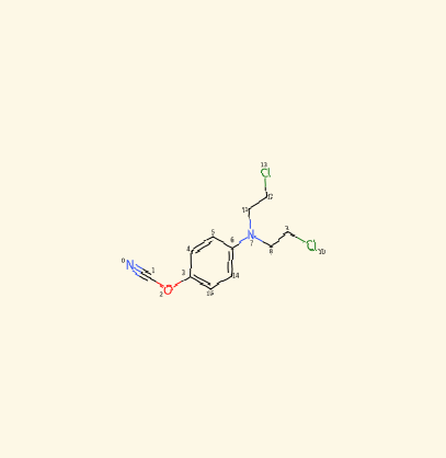 N#COc1ccc(N(CCCl)CCCl)cc1